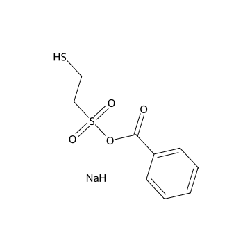 O=C(OS(=O)(=O)CCS)c1ccccc1.[NaH]